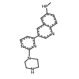 CPc1ccc2ncc(-c3ccnc(N4CCNCC4)n3)cc2c1